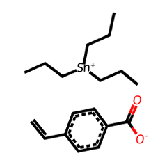 C=Cc1ccc(C(=O)[O-])cc1.CC[CH2][Sn+]([CH2]CC)[CH2]CC